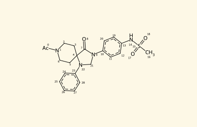 CC(=O)N1CCC2(CC1)C(=O)N(c1ccc(NS(C)(=O)=O)cc1)CN2c1ccccc1